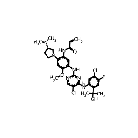 C=CC(=O)Nc1cc(Nc2ncc(Cl)c(Nc3cc(Cl)c(F)cc3C(C)(C)O)n2)c(OC)cc1N1CC[C@@H](N(C)C)C1